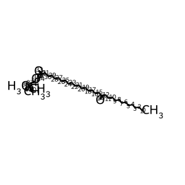 CCCCCCCCCCCCCC(=O)CCCCCCCCCCCCCCCCCC(=O)[P-]OCC[N+](C)(C)C